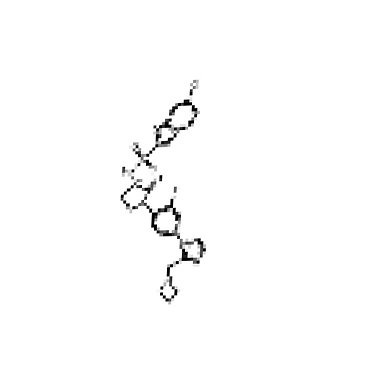 O=C1[C@@H](NS(=O)(=O)c2cc3ccc(Cl)cc3s2)CCN1c1ccc(-n2ccnc2CN2CCC2)cc1F